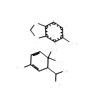 CC(N)C1C=C(O)C=CC1(N)O.Oc1ccc2c(c1)OCO2